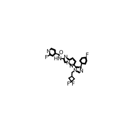 O=C(Nc1cn2nc(-c3c(-c4ccc(F)cc4)ncn3CC3CC(F)(F)C3)ccc2n1)c1ccnc(F)c1